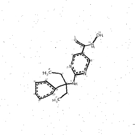 CCC(CC)(Nc1ncc(C(=O)NO)cn1)c1ccccc1